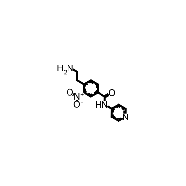 NCCc1ccc(C(=O)Nc2ccncc2)cc1[N+](=O)[O-]